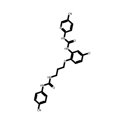 N#Cc1ccc(NC(=O)NCCCOc2ccc(Cl)cc2NC(=O)Nc2ccc(C#N)cn2)cc1